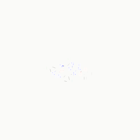 CC(C)(C)OC(=O)NC1=NC(C)(c2cc(NC(=O)c3ccc(Cl)cn3)ccc2F)Cn2c1nc(Cl)c2C#N